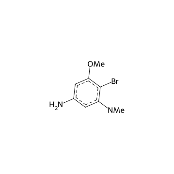 CNc1cc(N)cc(OC)c1Br